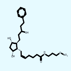 O=C(CCC/C=C\C[C@H]1[C@H](CCC(O)CCc2ccccc2)[C@@H](O)C[C@H]1O)NCCCO[N+](=O)[O-]